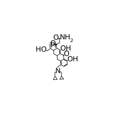 CC(C)C(CO)C1CC2Cc3c(CN(CC4CC4)CC4CC4)ccc(O)c3C(=O)C2=C(O)C1C(=O)CC(N)=O